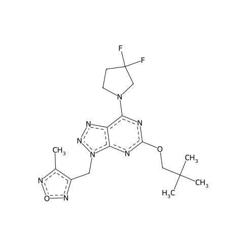 Cc1nonc1Cn1nnc2c(N3CCC(F)(F)C3)nc(OCC(C)(C)C)nc21